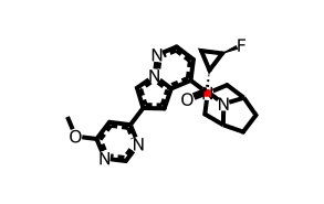 COc1cc(-c2cc3c(N4CC5CCC(C4)N5C(=O)[C@@H]4C[C@H]4F)ccnn3c2)ncn1